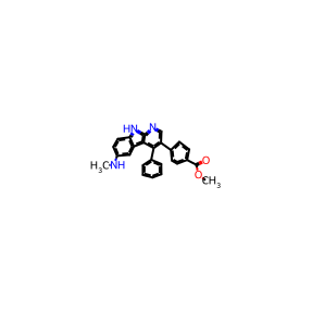 CNc1ccc2[nH]c3ncc(-c4ccc(C(=O)OC)cc4)c(-c4ccccc4)c3c2c1